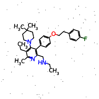 CCNCc1nc(C)c(CC)c(N2CCC(C)(C)CC2)c1-c1ccc(OCCc2ccc(F)cc2)cc1